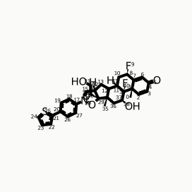 C[C@]12C=CC(=O)C=C1[C@@H](F)C[C@H]1C3C[C@H]4CN(c5ccc(-c6cccs6)cc5)O[C@@]4(C(=O)CO)[C@@]3(C)C[C@H](O)[C@@]12F